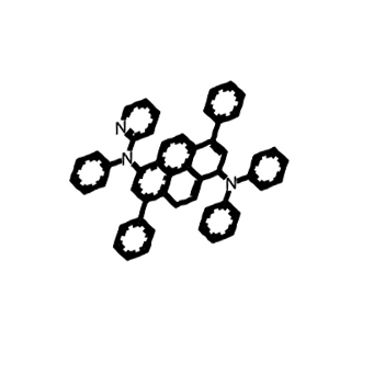 C1=C(c2ccccc2)c2ccc3c(N(c4ccccc4)c4ccccn4)cc(-c4ccccc4)c4c3c2C(=CC4)C1N(c1ccccc1)c1ccccc1